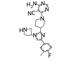 Cc1cc(-c2cn(C3CCNC3)c(C3CCN(c4ncnc(N)c4C#N)CC3)n2)ccc1F